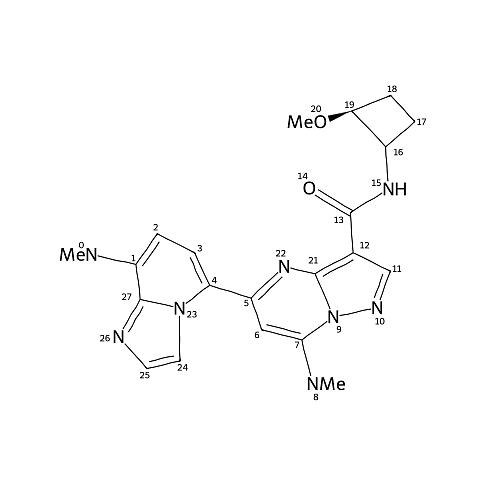 CNc1ccc(-c2cc(NC)n3ncc(C(=O)NC4CC[C@@H]4OC)c3n2)n2ccnc12